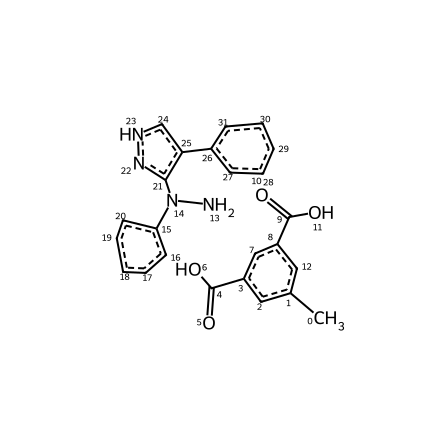 Cc1cc(C(=O)O)cc(C(=O)O)c1.NN(c1ccccc1)c1n[nH]cc1-c1ccccc1